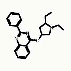 CCC1CC(Oc2nc(-c3ccccc3)nc3ccccc23)CN1CC